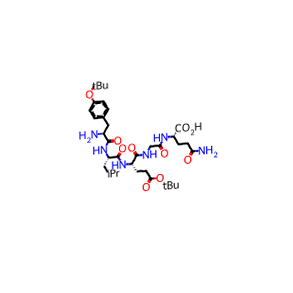 CC(C)C[C@H](NC(=O)[C@@H](N)Cc1ccc(OC(C)(C)C)cc1)C(=O)N[C@@H](CCC(=O)OC(C)(C)C)C(=O)NCC(=O)N[C@@H](CCC(N)=O)C(=O)O